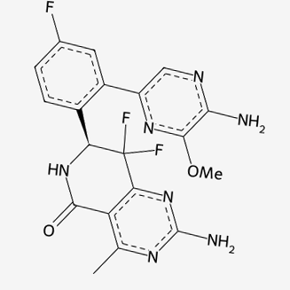 COc1nc(-c2cc(F)ccc2[C@@H]2NC(=O)c3c(C)nc(N)nc3C2(F)F)cnc1N